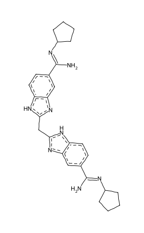 NC(=NC1CCCC1)c1ccc2[nH]c(Cc3nc4cc(C(N)=NC5CCCC5)ccc4[nH]3)nc2c1